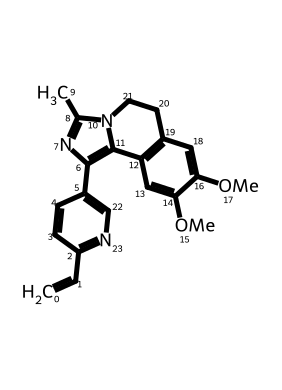 C=Cc1ccc(-c2nc(C)n3c2-c2cc(OC)c(OC)cc2CC3)cn1